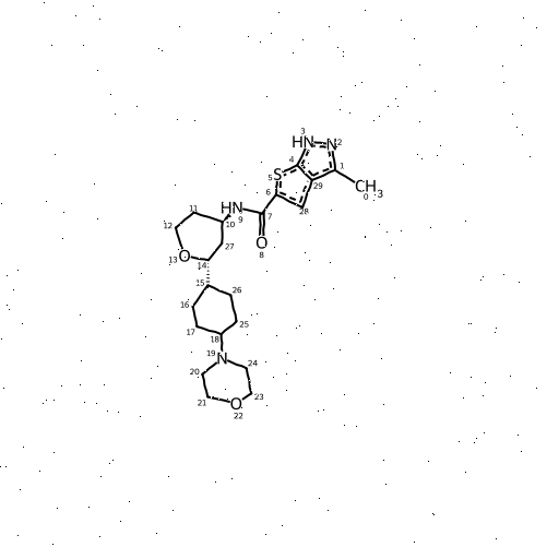 Cc1n[nH]c2sc(C(=O)N[C@@H]3CCO[C@@H](C4CCC(N5CCOCC5)CC4)C3)cc12